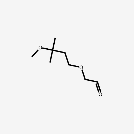 COC(C)(C)CCOCC=O